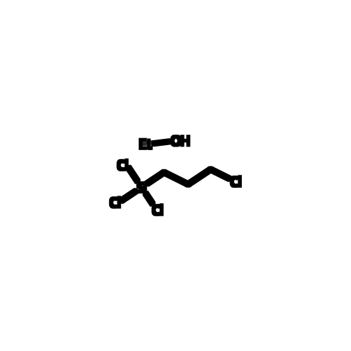 CCO.ClCCC[Si](Cl)(Cl)Cl